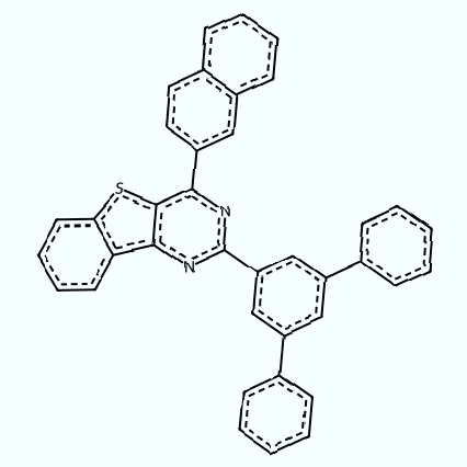 c1ccc(-c2cc(-c3ccccc3)cc(-c3nc(-c4ccc5ccccc5c4)c4sc5ccccc5c4n3)c2)cc1